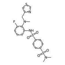 CN(Cc1cscn1)c1c(F)cccc1NS(=O)(=O)c1ccc(S(=O)(=O)N(C)C)cc1